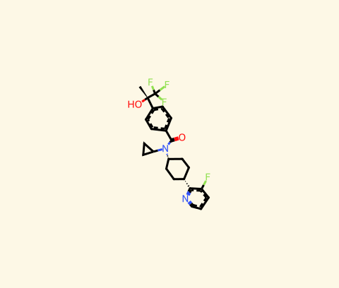 C[C@](O)(c1ccc(C(=O)N(C2CC2)[C@H]2CC[C@@H](c3ncccc3F)CC2)cc1)C(F)(F)F